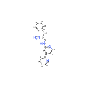 N[C@@H](CNc1cc(-c2ccccn2)ccn1)Cc1ccccc1